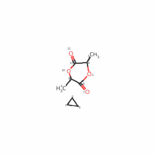 C1CC1.CC1OC(=O)C(C)OC1=O